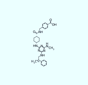 CNc1nc(NC[C@H](C)c2ccccc2)nc(N[C@H]2CC[C@@H](C(=O)NCc3ccc(C(=O)O)cc3)CC2)n1